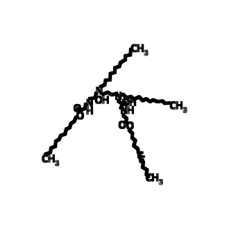 CCCCCCCCCCCCCCOC(=O)CCNCC(O)CN(CCCCCCCCCCCCCC)CCCCN(CCCCCCCCCCCCCC)CC(O)CNCCC(=O)OCCCCCCCCCCCCCC